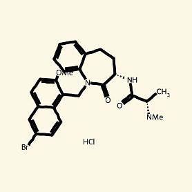 CN[C@@H](C)C(=O)N[C@H]1CCc2ccccc2N(Cc2c(OC)ccc3cc(Br)ccc23)C1=O.Cl